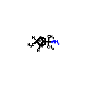 C[C@H]1C2CC[C@H]1C2C(C)(C)N